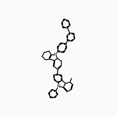 CC1C=CC=C2C1c1cc(C3=CCC4C(=C3)C3=C(CCCC3)N4c3ccc(-c4cccc(-c5ccccc5)c4)cc3)ccc1N2c1ccccc1